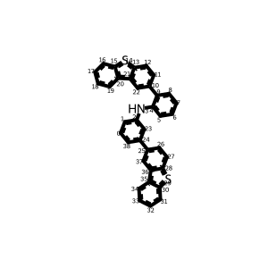 c1cc(Nc2ccccc2-c2ccc3sc4ccccc4c3c2)cc(-c2ccc3sc4ccccc4c3c2)c1